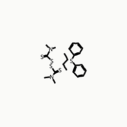 CCCC.CN(C)C(=S)SSC(=S)N(C)C.c1ccc(Sc2ccccc2)cc1